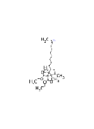 C/C=C\CCCCCCCC1CC(C)C2(C)C(C(=O)OCC)(C(=O)OCC)C12C